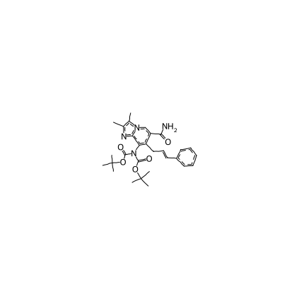 Cc1nc2c(N(C(=O)OC(C)(C)C)C(=O)OC(C)(C)C)c(C/C=C/c3ccccc3)c(C(N)=O)cn2c1C